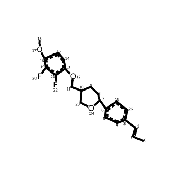 C/C=C/c1ccc(C2CCC(COc3ccc(OC)c(F)c3F)CO2)cc1